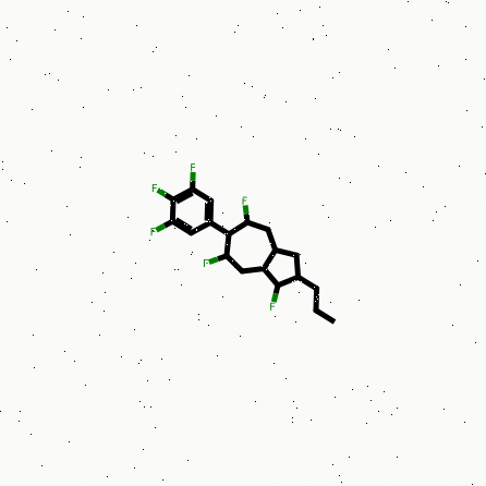 CCCC1CC2CC(F)C(c3cc(F)c(F)c(F)c3)C(F)CC2C1F